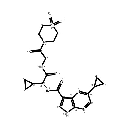 O=C(N[C@@H](C(=O)NCC(=O)N1CCS(=O)(=O)CC1)C1CC1)c1c[nH]c2ncc(C3CC3)nc12